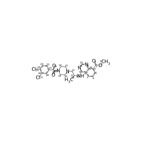 COC(=O)c1cccc2c(N[C@@H](C)CN3CCN(S(=O)(=O)c4ccc(Cl)c(Cl)c4)CC3)ncnc12